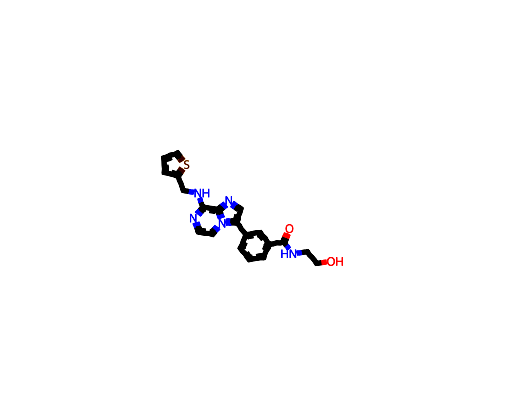 O=C(NCCO)c1cccc(-c2cnc3c(NCc4cccs4)nccn23)c1